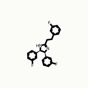 Fc1cccc(CCC2=N[C@@H](c3cccc(F)c3)[C@@H](c3cccc(F)c3)N2)c1